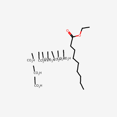 CC(=O)O.CC(=O)O.CC(=O)O.CC(=O)O.CC(=O)O.CC(=O)O.CC(=O)O.CC(=O)O.CC(=O)O.CCCCCCCCC(=O)OCC